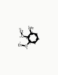 CCCc1cccc(OCC)c1OCC